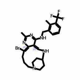 Cc1nc(NCc2cccc(C(F)(F)F)c2C)c2/c(n1)=C(/Br)CCCN1CCC(CC1)N/C=2